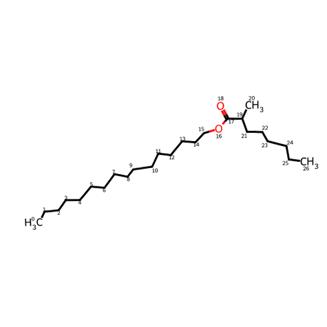 CCCCCCCCCCCCCCCCOC(=O)C(C)CCCCCC